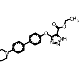 CCOC(=O)c1[nH]nnc1Oc1ccc(-c2ccc(N3CCCCC3)cc2)cc1